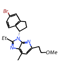 CCc1nc2c(C)cc(CCOC)nc2n1[C@H]1CCc2cc(Br)ccc21